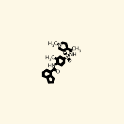 Cc1cc(S(=O)(=O)N[C@H](C)C2CCN(C)CC2)ccc1NC(=O)c1cccc2c1CCC2